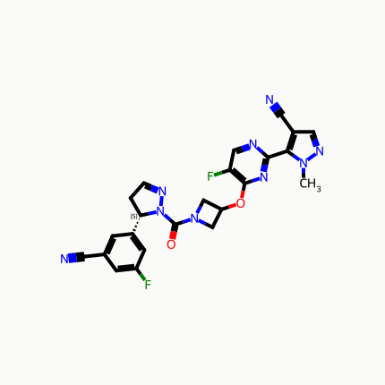 Cn1ncc(C#N)c1-c1ncc(F)c(OC2CN(C(=O)N3N=CC[C@H]3c3cc(F)cc(C#N)c3)C2)n1